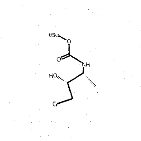 C[C@@H](NC(=O)OC(C)(C)C)[C@@H](O)CCl